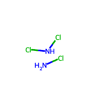 ClNCl.NCl